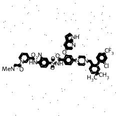 CNCC(=O)N1CCCC(CNc2ccc(S(=O)(=O)NC(=O)c3ccc(N4CCN(CC5=C(c6ccc(C(F)(F)F)cc6Cl)CC(C)(C)CC5)CC4)cc3Oc3cnc4[nH]ccc4c3)cc2[N+](=O)[O-])C1